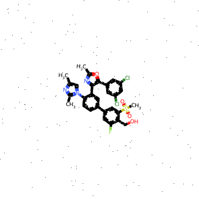 Cc1cn(-c2ccc(-c3cc(F)c(CO)c(S(C)(=O)=O)c3)cc2-c2nc(C)oc2-c2cc(Cl)cc(Cl)c2)c(C)n1